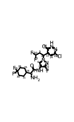 NC(C(=O)Nc1cn(C(CC(F)F)c2cc(Cl)n[nH]c2=O)nc1F)C1CCC(F)(F)CC1